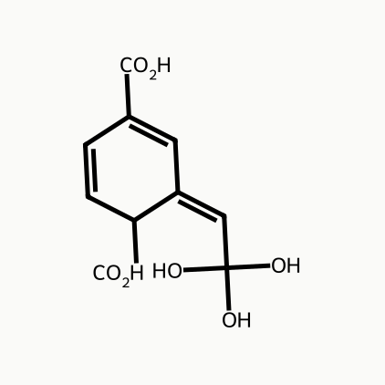 O=C(O)C1=CC(=CC(O)(O)O)C(C(=O)O)C=C1